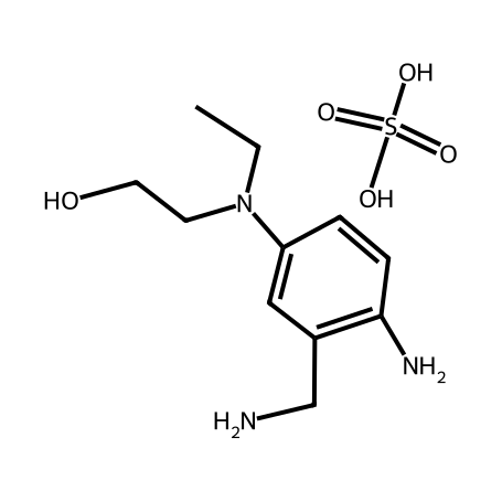 CCN(CCO)c1ccc(N)c(CN)c1.O=S(=O)(O)O